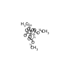 CCOC(=O)CC(C(=O)OCC)C(Cl)(C(C)=O)C(=O)OCC